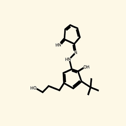 CC(C)(C)c1cc(CCCO)cc(N/N=C2/C=CC=CC2=N)c1O